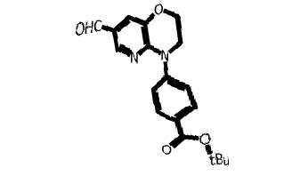 CC(C)(C)OC(=O)c1ccc(N2CCOc3cc(C=O)cnc32)cc1